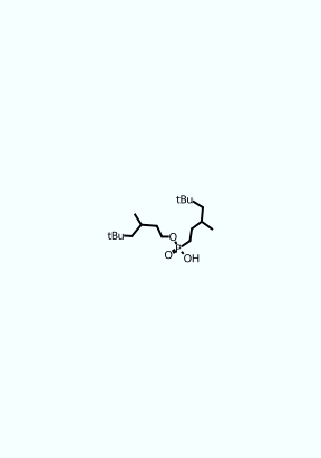 CC(CCOP(=O)(O)CCC(C)CC(C)(C)C)CC(C)(C)C